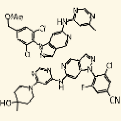 CC1(O)CCN(c2cc(Nc3cc4c(cn3)cnn4-c3c(F)cc(C#N)cc3Cl)ncn2)CC1.COCc1cc(Cl)c(-n2ncc3cnc(Nc4cc(C)ncn4)cc32)c(Cl)c1